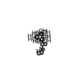 Oc1c(O)c(O)c2c(c1O)c1c(O)c(O)c(O)c(O)c1c1c(O)c(-c3ccc(-c4ccc5c(n4)=C4CC(=CC=5)C=CC=N4)c4ccccc34)c(O)c(O)c21